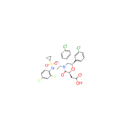 CC[C@@H](CN(c1ccc(F)cc1F)S(=O)(=O)C1CC1)N1C(=O)[C@H](CC(=O)O)O[C@H](c2cccc(Cl)c2)[C@H]1c1ccc(Cl)cc1